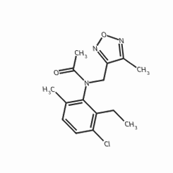 CCc1c(Cl)ccc(C)c1N(Cc1nonc1C)C(C)=O